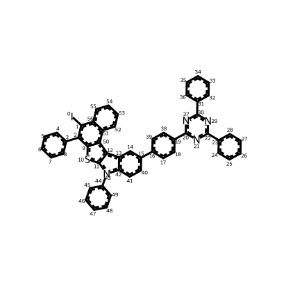 Ic1c(-c2ccccc2)c2sc3c(c4cc(-c5ccc(-c6nc(-c7ccccc7)nc(-c7ccccc7)n6)cc5)ccc4n3-c3ccccc3)c2c2ccccc12